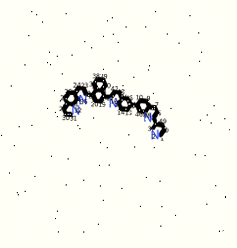 c1cncc(-c2ccc3ccc(-c4ccc5nc(-c6ccc(-c7ccc8ccc9cccnc9c8n7)c7ccccc67)ccc5c4)cc3n2)c1